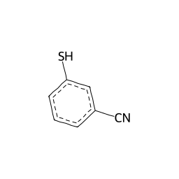 N#Cc1cccc(S)c1